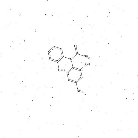 COc1ccccc1N(C(N)=O)c1ccc(N)cc1O